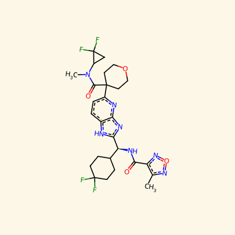 Cc1nonc1C(=O)N[C@H](c1nc2nc(C3(C(=O)N(C)C4CC4(F)F)CCOCC3)ccc2[nH]1)C1CCC(F)(F)CC1